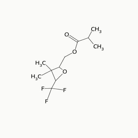 CC(C)C(=O)OCC1OC(C(F)(F)F)C1(C)C